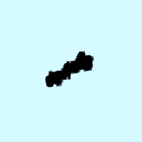 CCC(C)[C@H](NC(=O)OC)C(=O)N1CC(C)C[C@H]1c1ncc(-c2ccc3c(c2)COc2cc4c(ccc5nc([C@@H]6C[C@H](COC)CN6C(=O)C(NC(=O)OC)c6ccccc6)[nH]c54)cc2-3)[nH]1